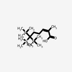 CC(=CCCC([Si](C)(C)C)([Si](C)(C)C)[Si](C)(C)C)C(=O)O